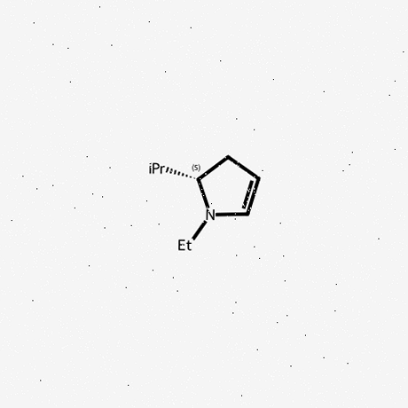 CCN1C=CC[C@H]1C(C)C